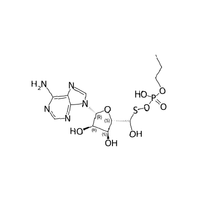 CCCOP(=O)(O)OSC(O)[C@H]1O[C@@H](n2cnc3c(N)ncnc32)[C@H](O)[C@@H]1O